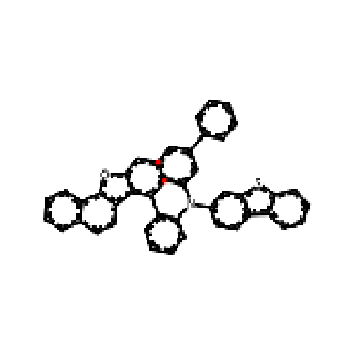 c1ccc(-c2cccc(N(c3ccc4c(c3)sc3ccccc34)c3ccccc3-c3cccc4oc5c6ccccc6ccc5c34)c2)cc1